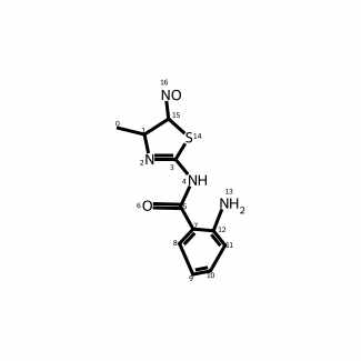 CC1N=C(NC(=O)c2ccccc2N)SC1N=O